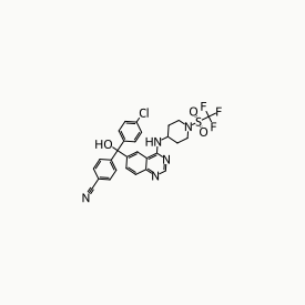 N#Cc1ccc(C(O)(c2ccc(Cl)cc2)c2ccc3ncnc(NC4CCN(S(=O)(=O)C(F)(F)F)CC4)c3c2)cc1